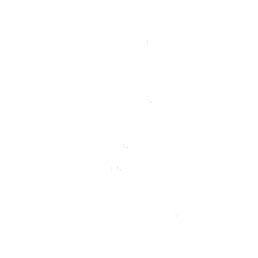 COc1ccc(C2NC(=O)N(C(CC(=O)Nc3ccc(I)cc3F)c3ccc(C)cc3)C2=O)cc1